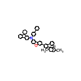 C[C@@H]1CC2C[C@@H](C1)[C@@]1(c3ccccc3-c3cc(-c4ccc5c(c4)oc4ccc(N(c6ccc(-c7ccccc7)cc6)c6ccc7c(c6)C6(CCCCC6)c6ccccc6-7)cc45)ccc31)[C@@H](C)C2